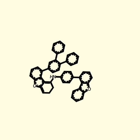 C1=c2oc3cccc(-c4ccc(-c5ccccc5)c(-c5ccccc5)c4)c3c2=C(Nc2ccc(-c3cccc4oc5ccccc5c34)cc2)CC1